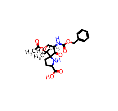 CC(=O)OCC(NC(=O)OCc1ccccc1)C(=O)C1(C(C)(C)C)CCC(C(=O)O)N1